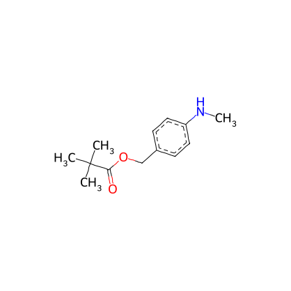 CNc1ccc(COC(=O)C(C)(C)C)cc1